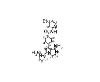 CCc1ccnc(NC(=O)c2ccc(-c3nc(C4CCCN4C)n4ccnc(N)c34)cc2)c1